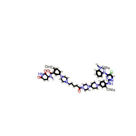 COc1cc(N2CCC(N3CCN(C(=O)CCCCN4CCN(c5ccc(C=O)c(C(=O)N(C)C6CCC(=O)NC6=O)c5)CC4)CC3)CC2)ccc1Nc1ncc(Cl)c(Nc2ccccc2N(C)SC)n1